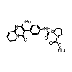 CCCCc1nc2ccccn2c(=O)c1-c1ccc(NC(=O)[C@@H]2CCCN2C(=O)OC(C)(C)C)cc1